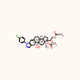 CC(=O)O[C@]1(C(=O)CSC(C)=O)CC[C@H]2[C@@H]3CCC4=Cc5c(cnn5-c5ccc(F)cc5)C[C@]4(C)[C@H]3[C@@H](O)C[C@@]21C